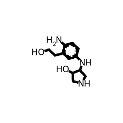 Nc1ccc(NC2CNCC2O)cc1CCO